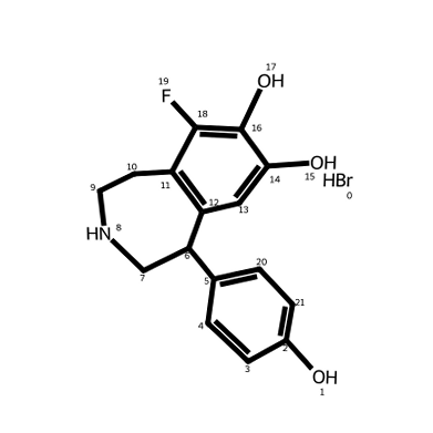 Br.Oc1ccc(C2CNCCc3c2cc(O)c(O)c3F)cc1